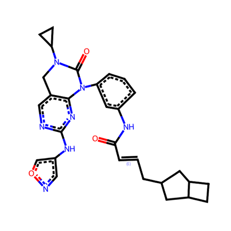 O=C(/C=C/CC1CC2CCC2C1)Nc1cccc(N2C(=O)N(C3CC3)Cc3cnc(Nc4cnoc4)nc32)c1